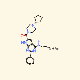 CC(=O)NCCNc1nc(-c2ccccc2)nc2[nH]c(C(=O)N3CCN(C4CCCC4)CC3)cc12